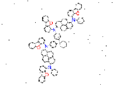 c1ccc(N(c2ccc3ccc4c(N(c5ccc(C6(c7ccc(N(c8ccc9ccc%10c(N(c%11ccccc%11)c%11cccc%12c%11oc%11ccccc%11%12)ccc%11ccc8c9c%11%10)c8cccc9c8oc8ccccc89)cc7)CCCCC6)cc5)c5cccc6c5oc5ccccc56)ccc5ccc2c3c54)c2cccc3c2oc2ccccc23)cc1